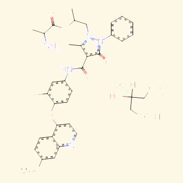 COc1ccc2c(Oc3ccc(NC(=O)c4c(C)n(CC(C)OC(=O)C(C)N)n(-c5ccccc5)c4=O)cc3F)ccnc2c1.O=C(O)CC(O)(CC(=O)O)C(=O)O